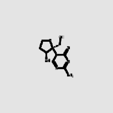 Nc1ncn([C@]2(CO)OCC[C@@H]2O)c(=O)n1